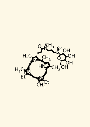 CCC1=C(C)c2cc3[nH]c(cc4nc(c(C)c5cc(C)c(cc1n2)[nH]5)[C@@H](CCC(=O)N(C)CCC[S+]([O-])[C@@H]1O[C@H](CO)[C@@H](O)[C@H](O)[C@H]1O)[C@@H]4C)c(C)c3CC